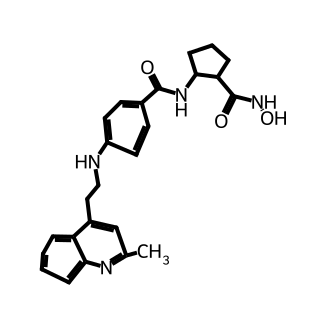 Cc1cc(CCNc2ccc(C(=O)NC3CCCC3C(=O)NO)cc2)c2ccccc2n1